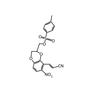 Cc1ccc(S(=O)(=O)OCC2COc3ccc([N+](=O)[O-])c(/C=C/C#N)c3O2)cc1